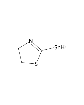 [SnH][C]1=NCCS1